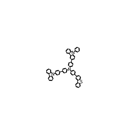 c1ccc(-n2c3ccccc3c3cc(-c4ccc(N(c5ccc(-c6ccc(-n7c8ccccc8c8ccccc87)cc6)cc5)c5ccc(-c6ccc7sc8ccccc8c7c6)cc5)cc4)ccc32)cc1